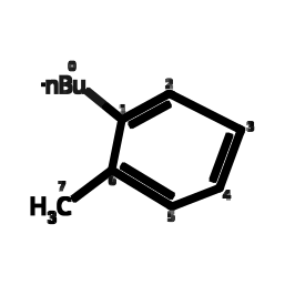 CCC[CH]c1ccccc1C